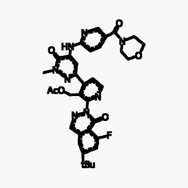 CC(=O)OCc1c(-c2cc(Nc3ccc(C(=O)N4CCOCC4)cn3)c(=O)n(C)n2)ccnc1-n1ncc2cc(C(C)(C)C)cc(F)c2c1=O